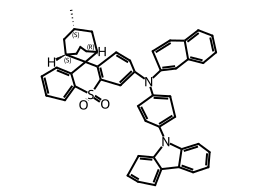 C[C@@H]1C[C@H]2CCC[C@@H](C1)C21c2ccccc2S(=O)(=O)c2cc(N(c3ccc(-n4c5ccccc5c5ccccc54)cc3)c3ccc4ccccc4c3)ccc21